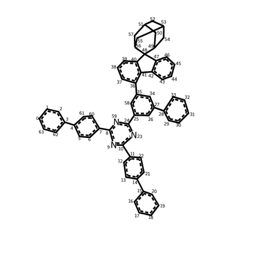 c1ccc(-c2ccc(-c3nc(-c4ccc(-c5ccccc5)cc4)nc(-c4cc(-c5ccccc5)cc(-c5cccc6c5-c5ccccc5C65C6CC7CC(C6)CC5C7)c4)n3)cc2)cc1